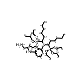 CCCCCC(N(c1ncnc(NCCN)n1)C(CCCCC)[Si](OCC)(OCC)OCC)[Si](OCC)(OCC)OCC